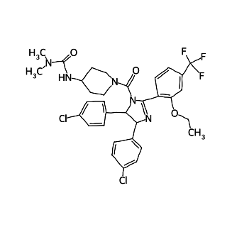 CCOc1cc(C(F)(F)F)ccc1C1=NC(c2ccc(Cl)cc2)C(c2ccc(Cl)cc2)N1C(=O)N1CCC(NC(=O)N(C)C)CC1